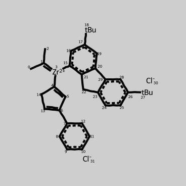 C[C](C)=[Zr+2]([C]1=CC(c2ccccc2)=CC1)[c]1cc(C(C)(C)C)cc2c1Cc1ccc(C(C)(C)C)cc1-2.[Cl-].[Cl-]